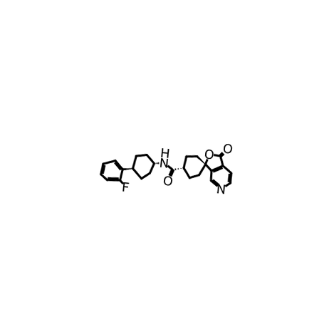 O=C1O[C@]2(CC[C@@H](C(=O)N[C@H]3CC[C@H](c4ccccc4F)CC3)CC2)c2cnccc21